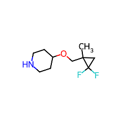 CC1(COC2CCNCC2)CC1(F)F